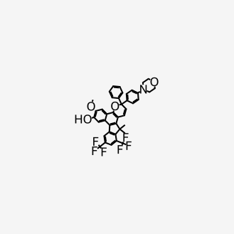 COc1cc2c3c(c4c(c2cc1O)-c1cc(C(F)(F)F)cc(C(F)(F)F)c1C4(C)C)C=CC(c1ccccc1)(c1ccc(N2CCOCC2)cc1)O3